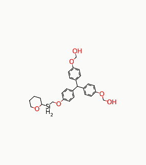 OCOc1ccc(C(c2ccc(OCO)cc2)c2ccc(OC[SiH2]C3CCCCO3)cc2)cc1